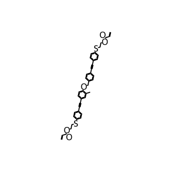 C=CC(=O)OCCSc1ccc(C#Cc2ccc(COc3ccc(C#Cc4ccc(SCCOC(=O)C=C)cc4)cc3C)cc2)cc1